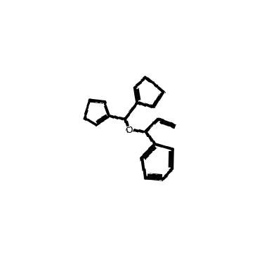 C=CC(OC(C1=CCCC1)C1=CCCC1)c1ccccc1